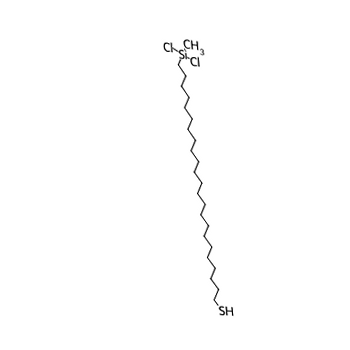 C[Si](Cl)(Cl)CCCCCCCCCCCCCCCCCCCCCCCS